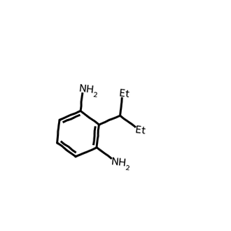 CCC(CC)c1c(N)cccc1N